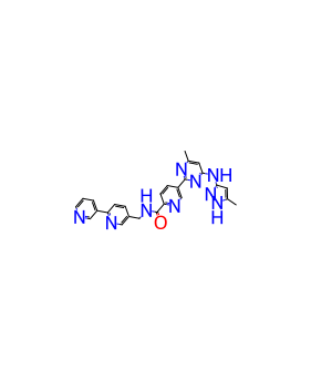 Cc1cc(Nc2cc(C)[nH]n2)nc(-c2ccc(C(=O)NCc3ccc(-c4cccnc4)nc3)nc2)n1